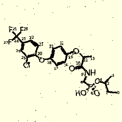 CCC(C)OP(=O)(O)CNC(=O)C(C)Oc1ccc(Oc2ccc(C(F)(F)F)cc2Cl)cc1